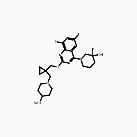 COC1CCN(CC2(COc3nc(N4CCC[C@@](C)(O)C4)c4cc(F)cc(F)c4n3)CC2)CC1